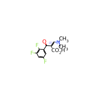 CN(C)/C=C(\C(=O)O)C(=O)c1cc(F)cc(F)c1F